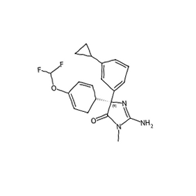 CN1C(=O)[C@](c2cccc(C3CC3)c2)(C2C=CC(OC(F)F)=CC2)N=C1N